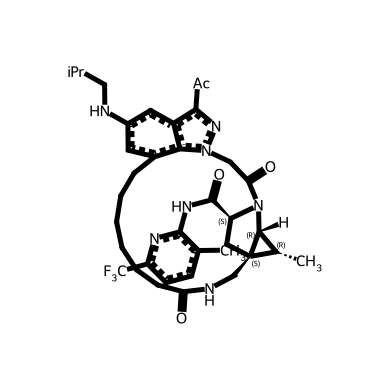 CC(=O)c1nn2c3c(cc(NCC(C)C)cc13)CCCCCCC(=O)NC[C@@]13C[C@@H](C(=O)Nc4nc(C(F)(F)F)ccc4C)N(C(=O)C2)[C@@H]1[C@@H]3C